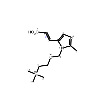 Cc1ncc(/C=C/C(=O)O)n1COCC[Si](C)(C)C